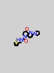 O=C1CCN(C(=O)NCc2cccs2)c2ccc(N3CCCC3)nc21